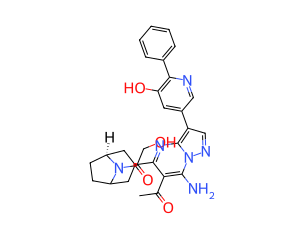 CC(=O)c1c(C2CC3CC[C@@H](C2)N3C(=O)CO)nc2c(-c3cnc(-c4ccccc4)c(O)c3)cnn2c1N